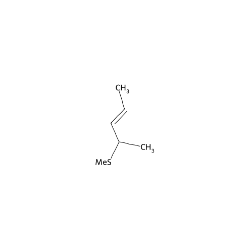 [C]SC(C)C=CC